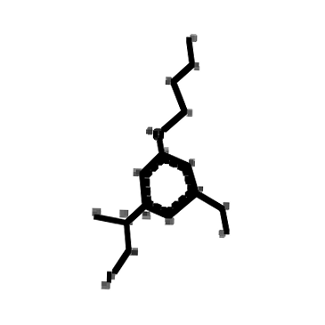 CCCCOc1cc(CC)cc([C](C)CF)c1